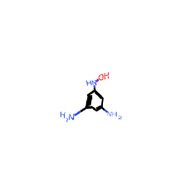 Nc1cc(N)cc(NO)c1